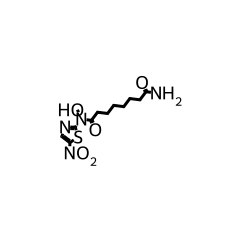 NC(=O)CCCCCCC(=O)N(O)c1ncc([N+](=O)[O-])s1